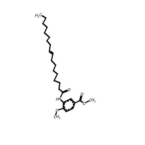 CCCCCCCCC=CCCCCCCCC(=O)Nc1cc(C(=O)OC)ccc1OC